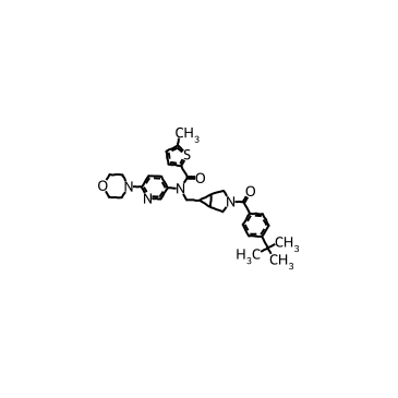 Cc1ccc(C(=O)N(CC2C3CN(C(=O)c4ccc(C(C)(C)C)cc4)CC32)c2ccc(N3CCOCC3)nc2)s1